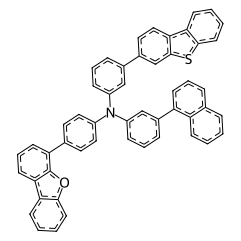 c1cc(-c2ccc3c(c2)sc2ccccc23)cc(N(c2ccc(-c3cccc4c3oc3ccccc34)cc2)c2cccc(-c3cccc4ccccc34)c2)c1